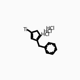 Cl.Cl.Cl.[Ti][C]1=CC(Cc2ccccc2)=CC1